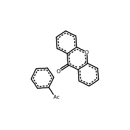 CC(=O)c1ccccc1.O=c1c2ccccc2oc2ccccc12